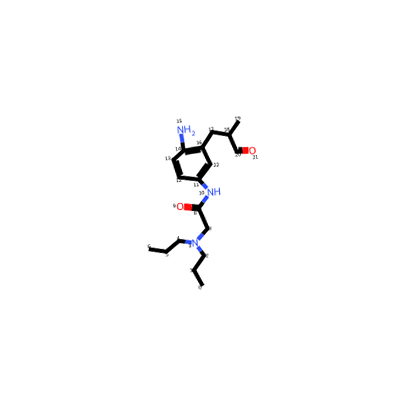 CCCN(CCC)CC(=O)Nc1ccc(N)c(CC(C)C=O)c1